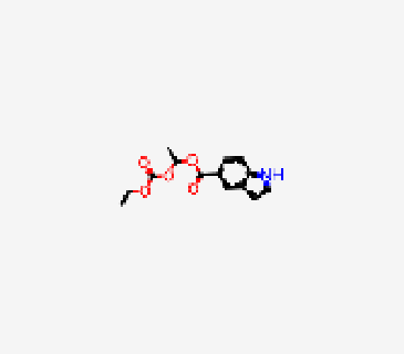 CCOC(=O)OC(C)OC(=O)c1ccc2[nH]ccc2c1